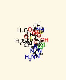 CC(C)OC(=O)[C@H](C)NP(=S)(OCCSC(=O)C(C)(C)C)OC[C@H]1O[C@@H](n2cnc3c(N)ncnc32)C(Cl)(Cl)[C@@H]1O